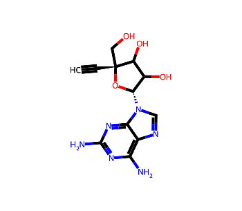 C#C[C@]1(CO)O[C@@H](n2cnc3c(N)nc(N)nc32)C(O)C1O